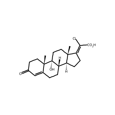 C[C@]12CCC(=O)C=C1CC[C@H]1[C@@H]3CCC(=C(Cl)C(=O)O)[C@@]3(C)CC[C@@]12O